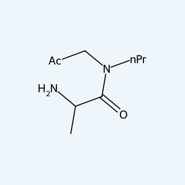 CCCN(CC(C)=O)C(=O)C(C)N